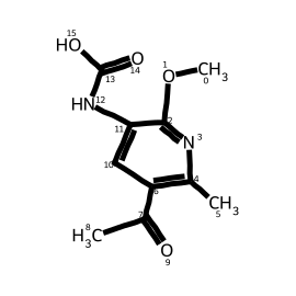 COc1nc(C)c(C(C)=O)cc1NC(=O)O